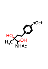 CCCCCCCCc1ccc(CCC(C)(O)C(O)NC(C)=O)cc1